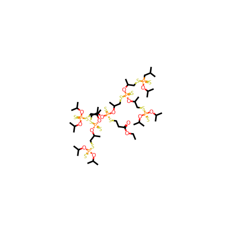 CCOC(=O)CCSP(=S)(OC(C)CSP(=S)(OC(C)CSP(=S)(CC(C)C)OC(C)C)OC(C)CSP(=S)(OC(C)C)OC(C)C)OC(C)CSP(=S)(OC(C)CSP(=S)(OC(C)C)OC(C)C)OC(C)CSP(=S)(OC(C)C)OC(C)C